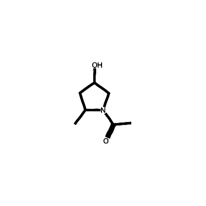 CC(=O)N1CC(O)CC1C